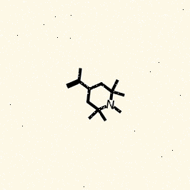 C=C(C)C1CC(C)(C)N(C)C(C)(C)C1